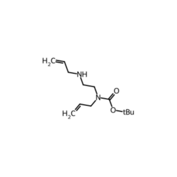 C=CCNCCN(CC=C)C(=O)OC(C)(C)C